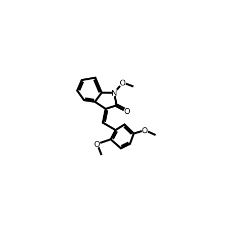 COc1ccc(OC)c(C=C2C(=O)N(OC)c3ccccc32)c1